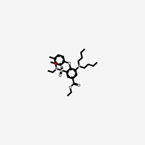 CCCCN(CCCC)c1cc(C(=O)OCC)cc(S(=O)(=O)N(CC)CC)c1Oc1ccc(C)cc1